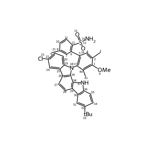 COc1c(C)cc(-c2cc(C)ccc2S(N)(=O)=O)c(-n2c3ccc(Cl)cc3c3ccc4c5cc(C(C)(C)C)ccc5[nH]c4c32)c1C